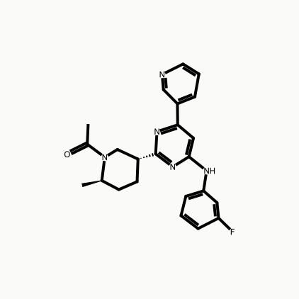 CC(=O)N1C[C@H](c2nc(Nc3cccc(F)c3)cc(-c3cccnc3)n2)CC[C@H]1C